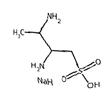 CC(N)C(N)CS(=O)(=O)O.[NaH]